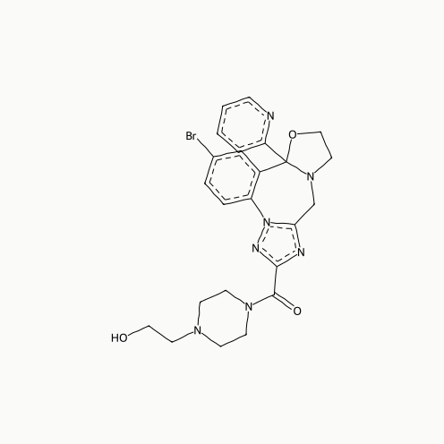 O=C(c1nc2n(n1)-c1ccc(Br)cc1C1(c3ccccn3)OCCN1C2)N1CCN(CCO)CC1